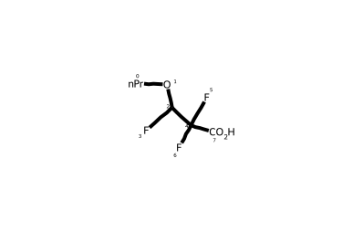 CCCOC(F)C(F)(F)C(=O)O